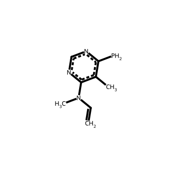 C=CN(C)c1ncnc(P)c1C